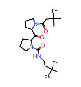 CCC(C)(C)CC(=O)N1CCCC1C(=O)C1CCCN1C(=O)NCCC(C)(CC)CC